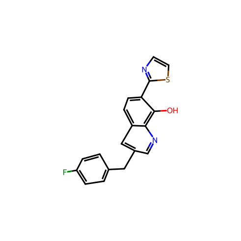 Oc1c(-c2nccs2)ccc2cc(Cc3ccc(F)cc3)cnc12